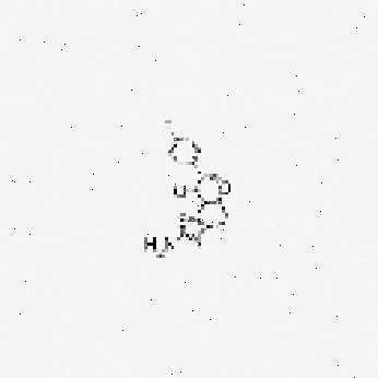 Nc1nc2ccc3occ(-c4ccc(F)cc4)c(=O)c3c2s1